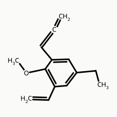 C=C=Cc1cc(CC)cc(C=C)c1OC